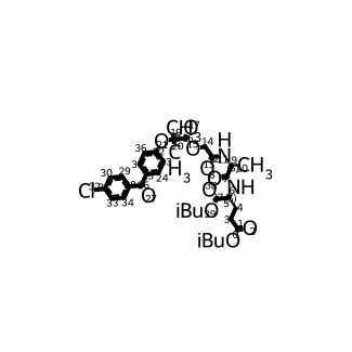 CC(C)COC(=O)CC[C@H](NC(=O)[C@H](C)NC(=O)COC(=O)C(C)(C)Oc1ccc(C(=O)c2ccc(Cl)cc2)cc1)C(=O)OCC(C)C